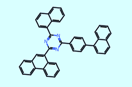 c1ccc2c(-c3ccc(-c4nc(-c5cccc6ccccc56)nc(-c5cc6ccccc6c6ccccc56)n4)cc3)cccc2c1